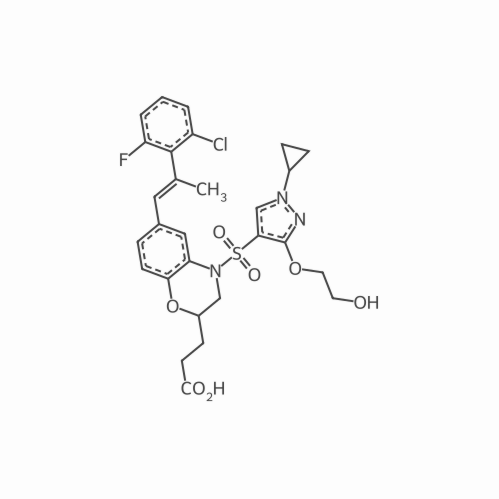 CC(=Cc1ccc2c(c1)N(S(=O)(=O)c1cn(C3CC3)nc1OCCO)CC(CCC(=O)O)O2)c1c(F)cccc1Cl